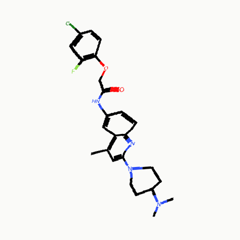 Cc1cc(N2CCC(N(C)C)CC2)nc2ccc(NC(=O)COc3ccc(Cl)cc3F)cc12